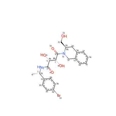 C[C@H](NC(=O)[C@H](O)[C@@H](O)C(=O)N1Cc2ccccc2C[C@@H]1CO)c1ccc(Br)cc1